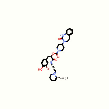 O=C(N=C=C=CN1CCCC[C@H]1C(=O)O)[C@@H](Cc1ccc(O)c(Br)c1)OC(=O)N1CCC(N2CCc3ccccc3NC2=O)CC1